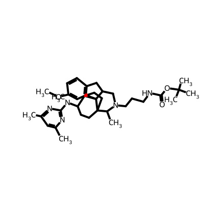 COc1ccc2c(c1)C13C(C2)CN(CCCNC(=O)OC(C)(C)C)C(C)C12CCC(N(C)c1nc(C)cc(C)n1)C3CC2